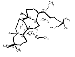 CO[C@H]1C[C@]2(C)C([C@H](C)CCC(C)(C)O)CC[C@H]2[C@@H]2CC[C@H]3C[C@@](C)(O)CC[C@]3(C)[C@H]21